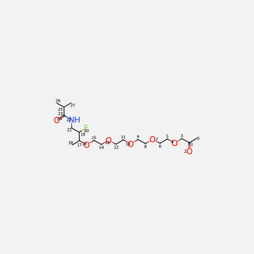 CC(=O)COCCOCCOCCOCCOC(C)C(F)CNC(=O)C(C)C